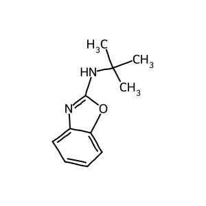 CC(C)(C)Nc1nc2ccccc2o1